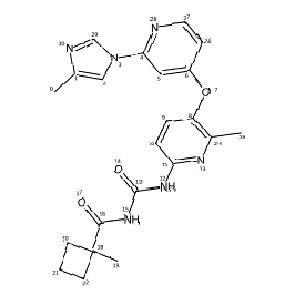 Cc1cn(-c2cc(Oc3ccc(NC(=O)NC(=O)C4(C)CCC4)nc3C)ccn2)cn1